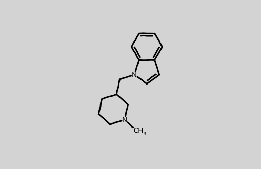 CN1CCCC(Cn2ccc3ccccc32)C1